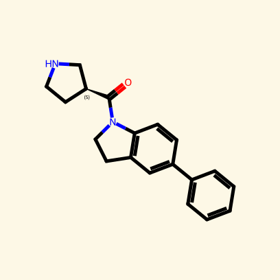 O=C([C@H]1CCNC1)N1CCc2cc(-c3ccccc3)ccc21